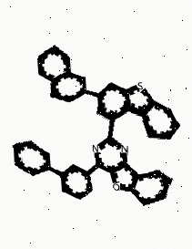 c1ccc(-c2cccc(-c3nc(-c4cc(-c5ccc6ccccc6c5)cc5sc6ccccc6c45)nc4c3oc3ccccc34)c2)cc1